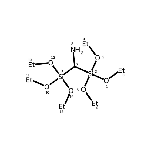 CCO[Si](OCC)(OCC)C(N)[Si](OCC)(OCC)OCC